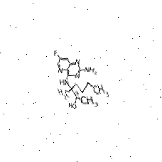 CCCCC(C)(Nc1nc(N)nc2cc(F)cnc12)[C@@H](C)O